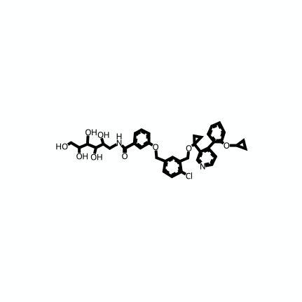 O=C(NCC(O)C(O)C(O)C(O)CO)c1cccc(OCc2ccc(Cl)c(COC3(c4cnccc4-c4ccccc4OC4CC4)CC3)c2)c1